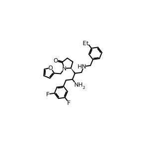 CCc1cccc(CNCC(C(N)Cc2cc(F)cc(F)c2)[C@@H]2CCC(=O)N2Cc2ccco2)c1